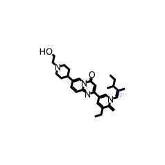 C=C1C(CC)=CC(c2cc(=O)n3cc(C4CCN(CCO)CC4)ccc3n2)=CN1/C=C(/C)C(C)CC